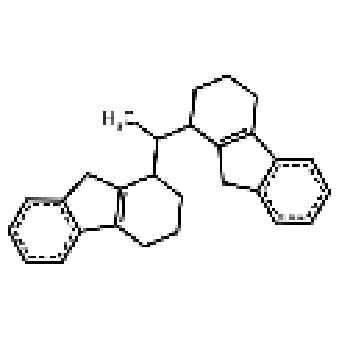 CC(C1CCCC2=C1Cc1ccccc12)C1CCCC2=C1Cc1ccccc12